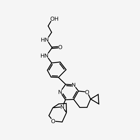 O=C(NCCO)Nc1ccc(-c2nc3c(c(N4C5CCC4COC5)n2)CCC2(CC2)O3)cc1